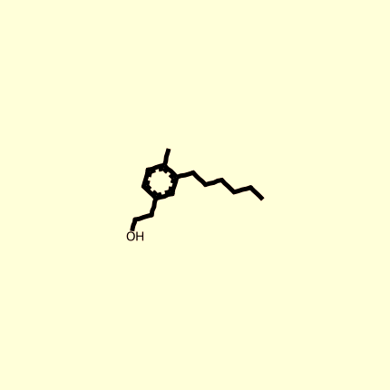 CCCCCCc1cc(CCO)ccc1C